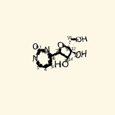 O=c1ncccc(C2O[C@H](CO)[C@@H](O)[C@H]2O)n1